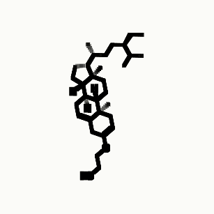 CC[C@H](CC[C@@H](C)[C@H]1CC[C@H]2[C@@H]3CC=C4CC(OCCO)=CC[C@]4(C)[C@H]3CC[C@]12C)C(C)C